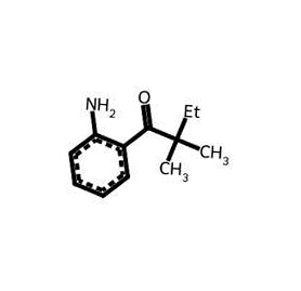 CCC(C)(C)C(=O)c1ccccc1N